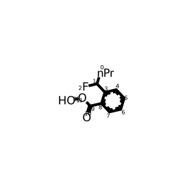 CCCC(F)c1ccccc1C(=O)OO